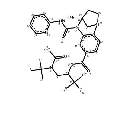 CC(C)(C)N(CC(NC(=O)c1ccc2c(n1)N(C(=O)Nc1ccccn1)[C@H]1CCN2C1)C(F)(F)F)C(=O)O